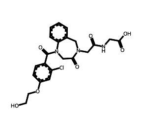 O=C(O)CNC(=O)CN1Cc2ccccc2N(C(=O)c2ccc(OCCO)cc2Cl)CC1=O